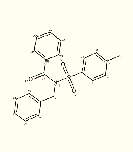 Cc1ccc(S(=O)(=O)N(Cc2ccccc2)C(=O)c2ccccc2)cc1